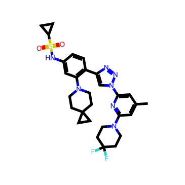 Cc1cc(N2CCC(F)(F)CC2)nc(-n2cc(-c3ccc(NS(=O)(=O)C4CC4)cc3N3CCC4(CC3)CC4)nn2)c1